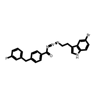 O=C(N=[N+]=NCCc1c[nH]c2ccc(Br)cc12)c1ccc(Cc2cccc(F)c2)cc1